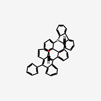 N#Cc1cccc(-c2c3ccccc3c(-c3ccccc3)c3ccccc23)c1-c1c(C#N)cccc1-n1c2ccccc2c2ccccc21